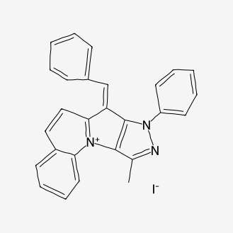 Cc1nn(-c2ccccc2)c2c1-[n+]1c(ccc3ccccc31)/C2=C\c1ccccc1.[I-]